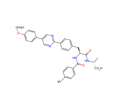 CCCCCCCOc1ccc(-c2cnc(-c3ccc(C[C@H](NC(=O)c4ccc(C(C)C)cc4)C(=O)N[C@H](C)C(=O)O)cc3)nc2)cc1